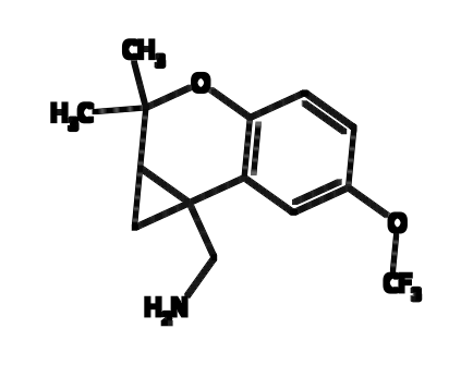 CC1(C)Oc2ccc(OC(F)(F)F)cc2C2(CN)CC12